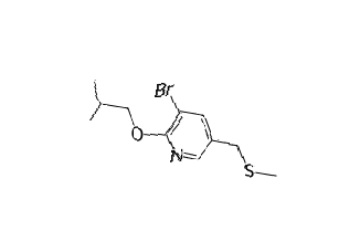 CSCc1cnc(OCC(C)C)c(Br)c1